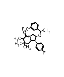 CC1C(=O)N2C[C@H](O[C@H](C)c3cccc(C(F)(F)F)c3)[C@@H](c3ccc(F)cc3)C2CC1(C)C